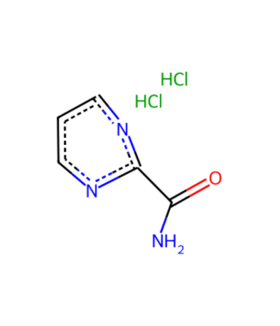 Cl.Cl.NC(=O)c1ncccn1